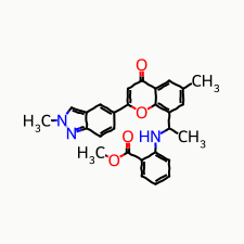 COC(=O)c1ccccc1NC(C)c1cc(C)cc2c(=O)cc(-c3ccc4nn(C)cc4c3)oc12